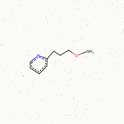 [SiH3]OCCCc1ccccn1